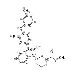 C=CC(=O)N1CCCC(n2c(=O)n(-c3ccc(Oc4cccc(C)c4)c(F)c3)c3cnccc32)C1